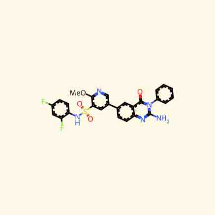 COc1ncc(-c2ccc3nc(N)n(-c4ccccc4)c(=O)c3c2)cc1S(=O)(=O)Nc1ccc(F)cc1F